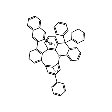 Nc1cc2ccccc2cc1C1=C2C(=CCC1)c1cc(-c3ccccc3)cc(c1S)N1c3ccccc3C(C3=CC=CCC3)(c3ccccc3)c3cccc2c31